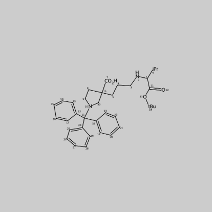 CC(C)C(NCCCC1(C(=O)O)CCN(C(c2ccccc2)(c2ccccc2)c2ccccc2)C1)C(=O)OC(C)(C)C